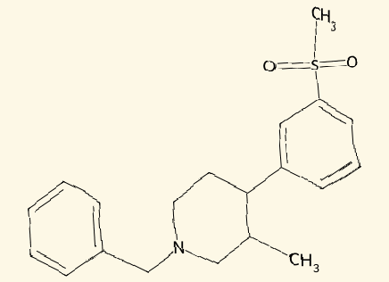 CC1CN(Cc2ccccc2)CCC1c1cccc(S(C)(=O)=O)c1